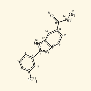 Cc1cccc(-c2nc3ccc(C(=O)NO)cc3[nH]2)c1